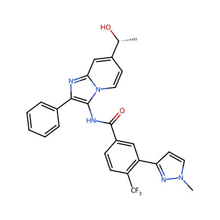 C[C@@H](O)c1ccn2c(NC(=O)c3ccc(C(F)(F)F)c(-c4ccn(C)n4)c3)c(-c3ccccc3)nc2c1